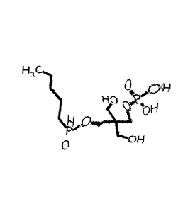 CCCCC[PH](=O)OCC(CO)(CO)COP(=O)(O)O